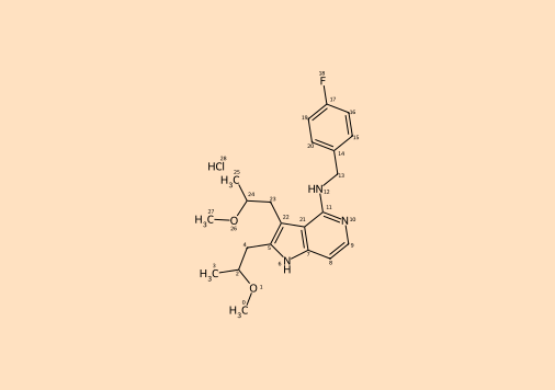 COC(C)Cc1[nH]c2ccnc(NCc3ccc(F)cc3)c2c1CC(C)OC.Cl